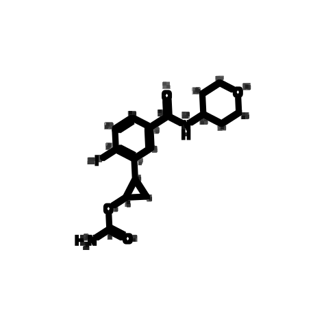 NC(=O)OC1CC1c1cc(C(=O)NC2CCOCC2)ccc1F